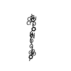 Cc1ccc(S(=O)(=O)OCCOCCOCc2cn(Cc3cccc(COc4cnn(C(C)(C)C)c(=O)c4Cl)c3)nn2)cc1